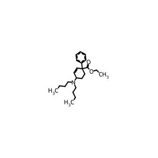 CCCCN(CCCC)C1C=CC(C(=O)OCC)(c2ccccc2)CC1